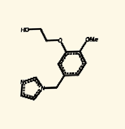 COc1ccc(Cn2ccnc2)cc1OCCO